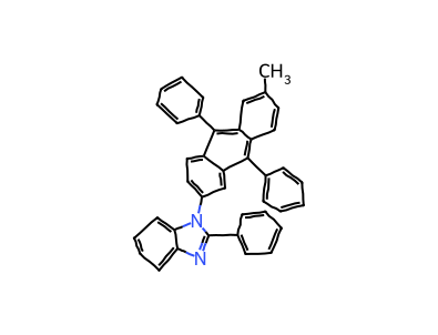 Cc1ccc2c(-c3ccccc3)c3cc(-n4c(-c5ccccc5)nc5ccccc54)ccc3c(-c3ccccc3)c2c1